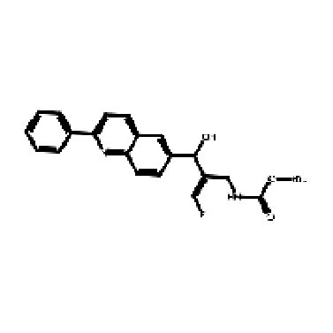 CC(C)(C)OC(=O)NCC(=CF)C(O)c1ccc2nc(-c3ccccc3)ccc2c1